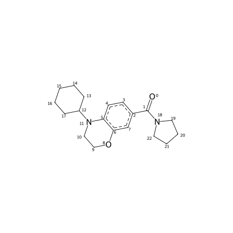 O=C(c1ccc2c(c1)OCCN2C1CCCCC1)N1CCCC1